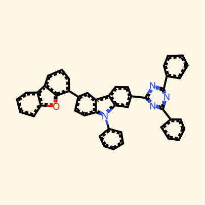 c1ccc(-c2nc(-c3ccccc3)nc(-c3ccc4c5cc(-c6cccc7c6oc6ccccc67)ccc5n(-c5ccccc5)c4c3)n2)cc1